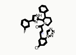 O=C(/C=C/c1cc(Cl)ccc1-n1cnnn1)N1CCCC(c2ccccc2)C1c1nc(-c2cccc(F)c2)c[nH]1